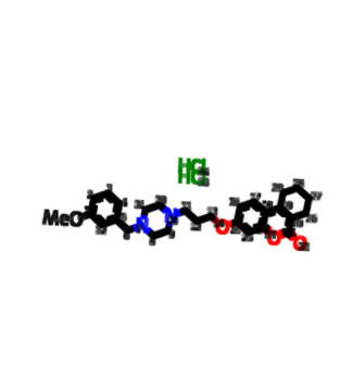 COc1cccc(CN2CCN(CCCOc3ccc4c5c(c(=O)oc4c3)CCCC5)CC2)c1.Cl.Cl